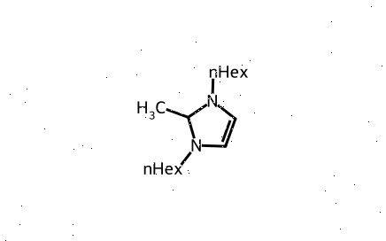 CCCCCCN1C=CN(CCCCCC)C1C